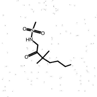 CCCCC(C)(C)C(=O)CNS(C)(=O)=O